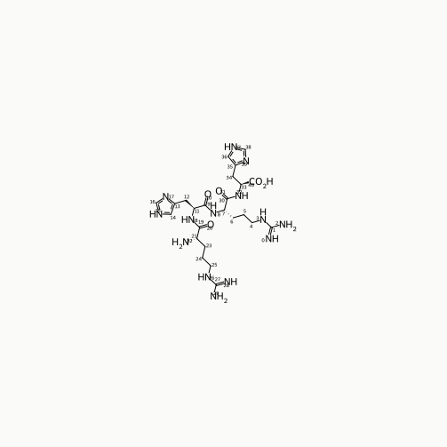 N=C(N)NCCC[C@H](NC(=O)[C@H](Cc1c[nH]cn1)NC(=O)[C@@H](N)CCCNC(=N)N)C(=O)N[C@@H](Cc1c[nH]cn1)C(=O)O